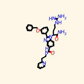 N=C(N)NCCCC(C(N)=O)n1c(-c2cccc(OCc3ccccc3)c2)nc2cc(C(=O)NCCc3ccccn3)ccc21